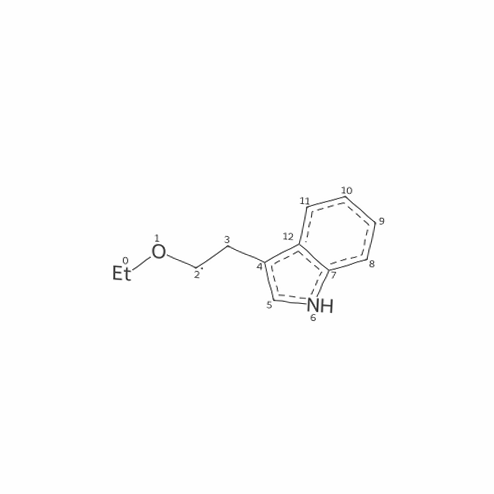 CCO[CH]Cc1c[nH]c2ccccc12